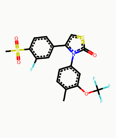 Cc1ccc(-n2c(-c3ccc(S(C)(=O)=O)c(F)c3)csc2=O)cc1OC(F)(F)F